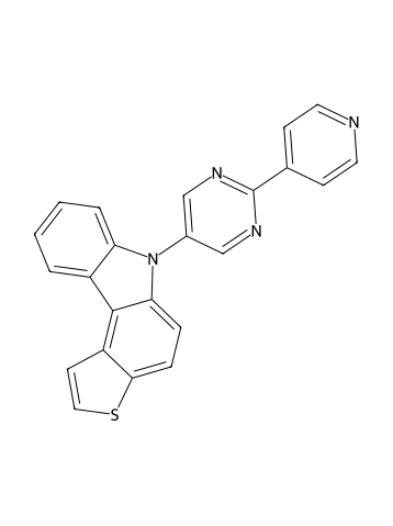 c1ccc2c(c1)c1c3ccsc3ccc1n2-c1cnc(-c2ccncc2)nc1